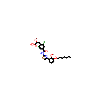 CCCCCCCOc1cccc(-c2csc(NC(=O)c3cc(F)c(/C=C(/OC)C(=O)O)c(F)c3)n2)c1OC